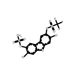 CS(=O)(=O)Oc1cc2c(cc1Cl)oc1cc(Cl)c(OS(=O)(=O)C(F)(F)F)cc12